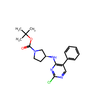 CC(C)(C)OC(=O)N1CC[C@H](Nc2nc(Cl)ncc2-c2ccccc2)C1